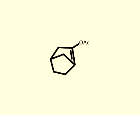 CC(=O)OC1=C2CCC(C2)C1